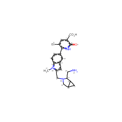 CCc1cc(C(=O)O)c(=O)[nH]c1-c1ccc2c(c1)cc(CN1CC3CC3C1CN)n2C